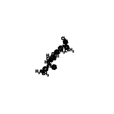 Cc1cc(S(=O)(=O)NC(=O)c2ccc(N3CCN(CC4=C(c5ccc(Cl)cc5)CCC(C)(C)C4)CC3)cc2)ccc1N[C@H](CCN1CCC(N(C)C)CC1)CSc1ccccc1